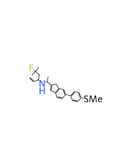 C=CC(CC(C)(C)F)NC(C)C1=Cc2ccc(-c3ccc(SC)cc3)cc2C1